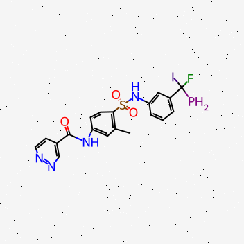 Cc1cc(NC(=O)c2ccnnc2)ccc1S(=O)(=O)Nc1cccc(C(F)(P)I)c1